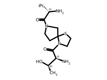 CC(C)[C@H](N)C(=O)N1CCC2(C1)SCCN2C(=O)[C@@H](N)[C@@H](C)O